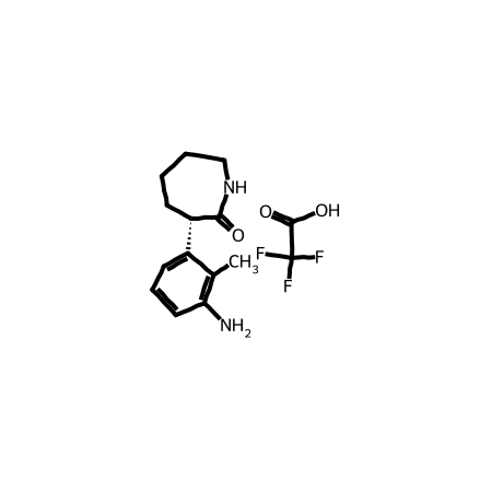 Cc1c(N)cccc1[C@@H]1CCCCNC1=O.O=C(O)C(F)(F)F